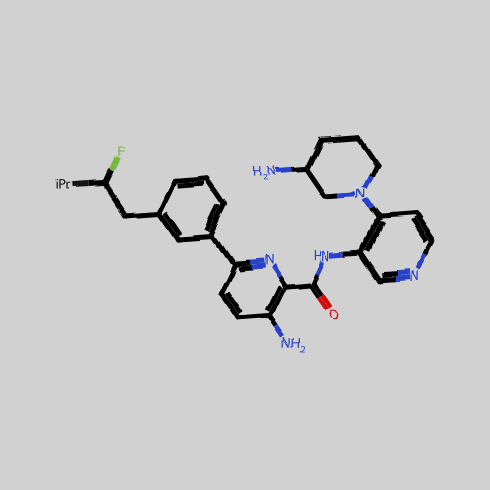 CC(C)C(F)Cc1cccc(-c2ccc(N)c(C(=O)Nc3cnccc3N3CCCC(N)C3)n2)c1